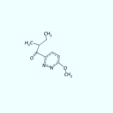 CCC(C)C(=O)c1ccc(OC)nn1